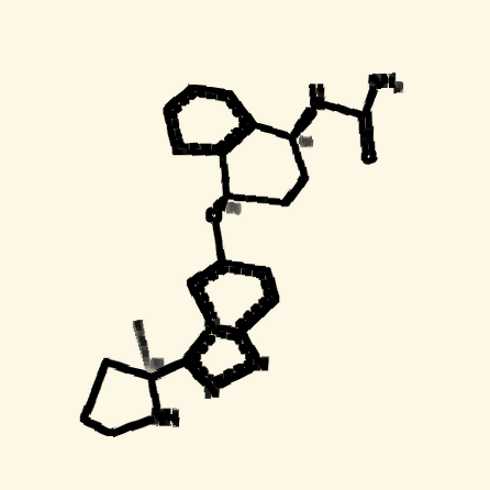 C[C@@]1(c2nnc3ccc(O[C@@H]4CC[C@H](NC(N)=O)c5ccccc54)cn23)CCCN1